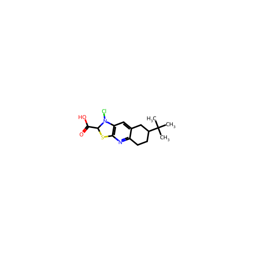 CC(C)(C)C1CCc2nc3c(cc2C1)N(Cl)C(C(=O)O)S3